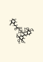 COc1ccc(C=C(C(=O)NCCNC(=O)C=Cc2ccccc2I)c2cc(OC)c(OC)c(OC)c2)cc1O